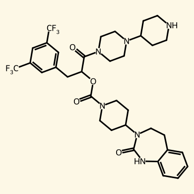 O=C(OC(Cc1cc(C(F)(F)F)cc(C(F)(F)F)c1)C(=O)N1CCN(C2CCNCC2)CC1)N1CCC(N2CCc3ccccc3NC2=O)CC1